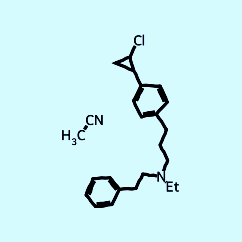 CC#N.CCN(CCCc1ccc(C2CC2Cl)cc1)CCc1ccccc1